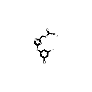 CCc1cc(CC)cc(Sc2cnc(COC(N)=O)s2)c1